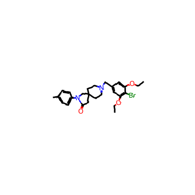 CCOc1cc(CN2CCC3(CC2)CC(=O)N(c2ccc(C)cc2)C3)cc(OCC)c1Br